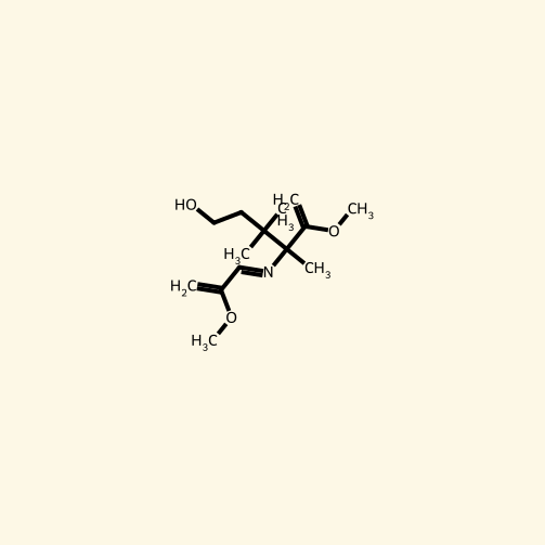 C=C(/C=N/C(C)(C(=C)OC)C(C)(C)CCO)OC